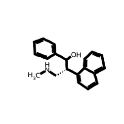 CNC[C@@H](c1cccc2ccccc12)C(O)c1ccccc1